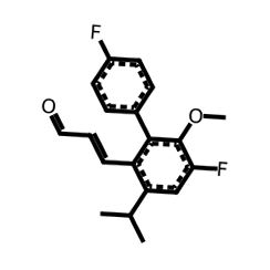 COc1c(F)cc(C(C)C)c(C=CC=O)c1-c1ccc(F)cc1